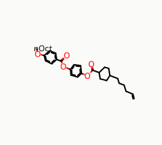 C=CCCCCC1CCC(C(=O)Oc2ccc(OC(=O)c3ccc(OCCCCCCCC)cc3)cc2)CC1